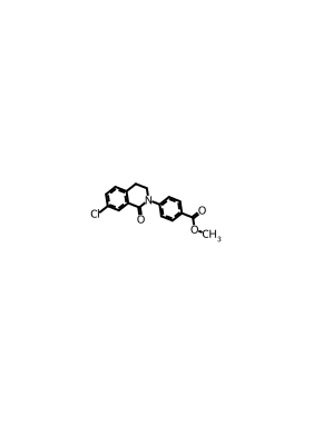 COC(=O)c1ccc(N2CCc3ccc(Cl)cc3C2=O)cc1